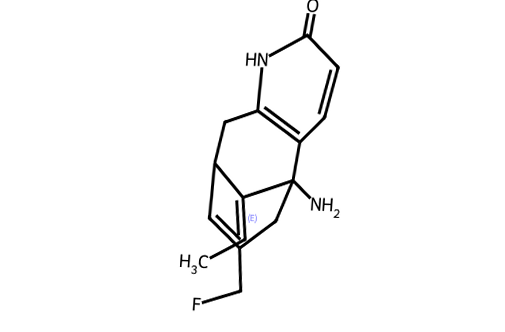 C/C=C1\C2C=C(CF)CC1(N)c1ccc(=O)[nH]c1C2